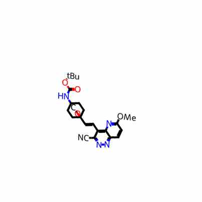 COc1ccc2nnc(C#N)c(/C=C/C34CCC(NC(=O)OC(C)(C)C)(CC3)CO4)c2n1